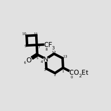 CCOC(=O)C1CCN(C(=O)C2(C(F)(F)F)CCC2)CC1